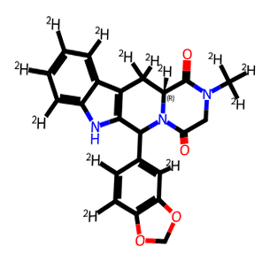 [2H]c1c([2H])c(C2c3[nH]c4c([2H])c([2H])c([2H])c([2H])c4c3C([2H])([2H])[C@]3([2H])C(=O)N(C([2H])([2H])[2H])CC(=O)N23)c([2H])c2c1OCO2